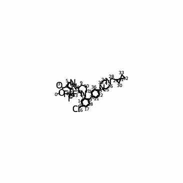 COC(=O)c1cnn(C2CCCN(c3cc(Cl)ccc3-c3ccc(N4CCN(CC5CC56CC6)CC4)cc3)C2)c1C(F)(F)F